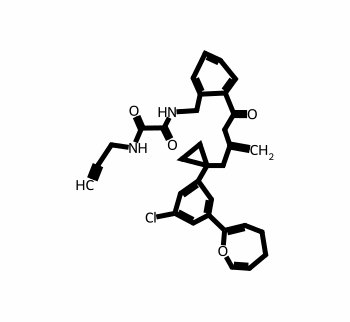 C#CCNC(=O)C(=O)NCc1ccccc1C(=O)CC(=C)CC1(c2cc(Cl)cc(C3=CCCC=CO3)c2)CC1